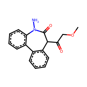 COCC(=O)C1C(=O)N(N)c2ccccc2-c2ccccc21